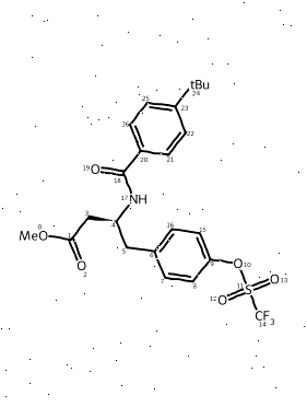 COC(=O)C[C@H](Cc1ccc(OS(=O)(=O)C(F)(F)F)cc1)NC(=O)c1ccc(C(C)(C)C)cc1